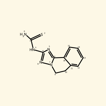 NC(=S)Nc1nc2n(n1)CCc1ccccc1-2